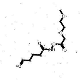 COCCOCC(=O)ONC(=O)CCCC=O